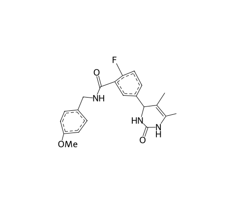 COc1ccc(CNC(=O)c2cc(C3NC(=O)NC(C)=C3C)ccc2F)cc1